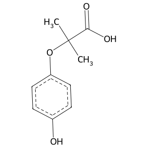 CC(C)(Oc1ccc(O)cc1)C(=O)O